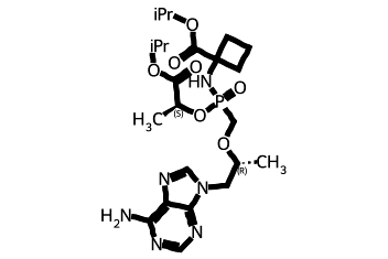 CC(C)OC(=O)[C@H](C)OP(=O)(CO[C@H](C)Cn1cnc2c(N)ncnc21)NC1(C(=O)OC(C)C)CCC1